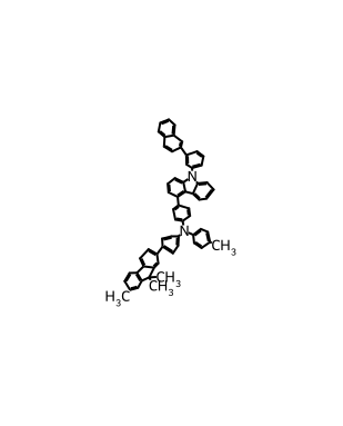 Cc1ccc(N(c2ccc(-c3ccc4c(c3)C(C)(C)c3cc(C)ccc3-4)cc2)c2ccc(-c3cccc4c3c3ccccc3n4-c3cccc(-c4ccc5ccccc5c4)c3)cc2)cc1